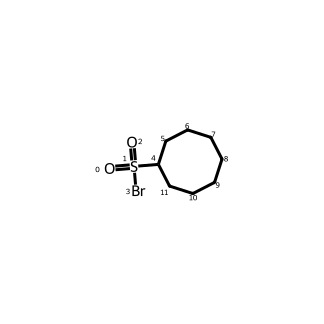 O=S(=O)(Br)C1CCCCCCC1